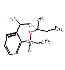 CCC(C)[O][Sn]([CH3])([Br])[c]1ccccc1C(C)N